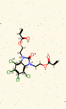 C=CC(=O)OCCn1c(=O)n(CCOC(=O)C=C)c2c(Cl)c(Cl)c(Cl)c(Cl)c21